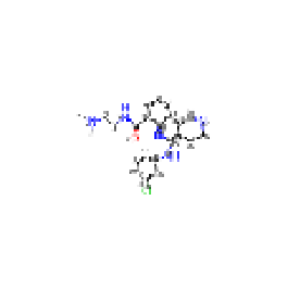 CN(C)CCNC(=O)c1cccc2c1nc(Nc1cccc(Cl)c1)c1ccncc12